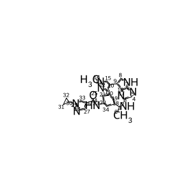 C[C@H](Nc1cnc2[nH]cc(-c3cnn(C)c3)c2n1)c1cccc(NC(=O)c2cnn(C3CC3)c2)c1